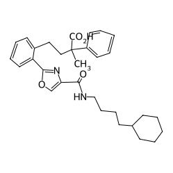 CC(CCc1ccccc1-c1nc(C(=O)NCCCCC2CCCCC2)co1)(C(=O)O)c1ccccc1